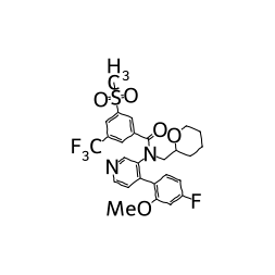 COc1cc(F)ccc1-c1ccncc1N(CC1CCCCO1)C(=O)c1cc(C(F)(F)F)cc(S(C)(=O)=O)c1